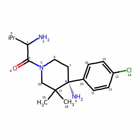 CC(C)C(N)C(=O)N1CC[C@@](N)(c2ccc(Cl)cc2)C(C)(C)C1